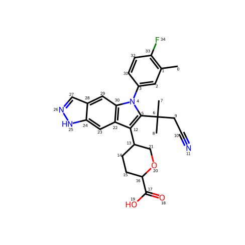 Cc1cc(-n2c(C(C)(C)CC#N)c(C3CCC(C(=O)O)OC3)c3cc4[nH]ncc4cc32)ccc1F